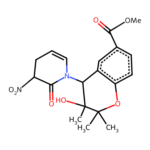 COC(=O)c1ccc2c(c1)C(N1C=CCC([N+](=O)[O-])C1=O)C(C)(O)C(C)(C)O2